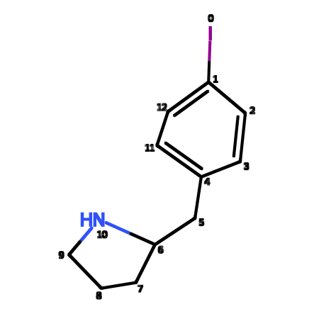 Ic1ccc(CC2CCCN2)cc1